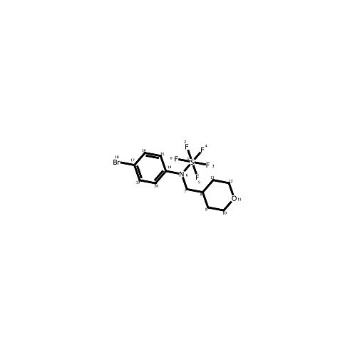 FS(F)(F)(F)(F)N(CC1CCOCC1)c1ccc(Br)cc1